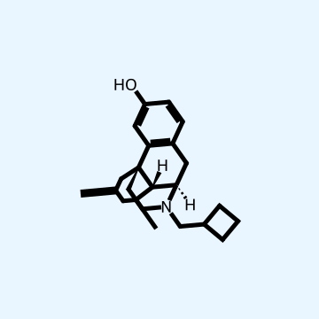 C=C1CC(C)[C@H]2[C@H]3Cc4ccc(O)cc4[C@@]2(CCN3CC2CCC2)C1